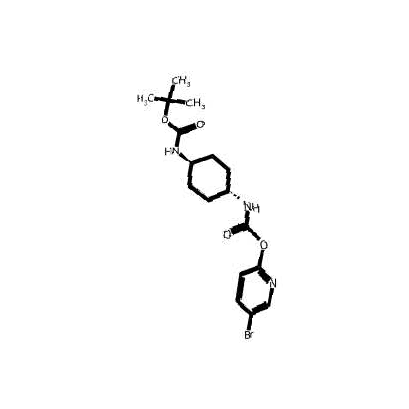 CC(C)(C)OC(=O)N[C@H]1CC[C@H](NC(=O)Oc2ccc(Br)cn2)CC1